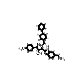 Cc1ccc(C2=NN(Cc3ccc(-c4ccccc4)cc3)C(c3nc4ccc(CN)cc4[nH]3)C2O)cc1